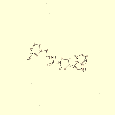 O=C(NCCc1cccc(Cl)c1)N1CC=C(c2c[nH]c3ncccc23)CC1